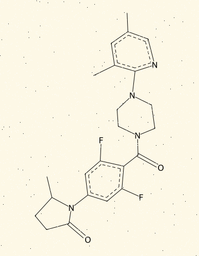 Cc1cnc(N2CCN(C(=O)c3c(F)cc(N4C(=O)CCC4C)cc3F)CC2)c(C)c1